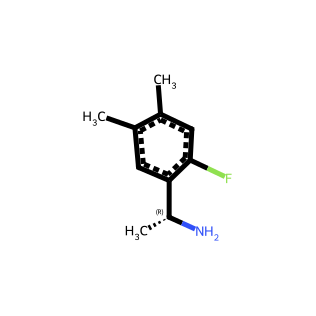 Cc1cc(F)c([C@@H](C)N)cc1C